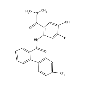 CN(C)C(=O)c1cc(O)c(F)cc1NC(=O)c1ccccc1-c1ccc(C(F)(F)F)cc1